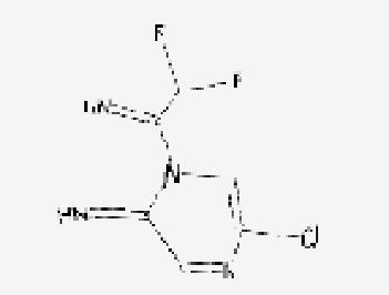 N=C(C(F)F)n1cc(Cl)ncc1=N